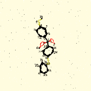 COC(OC)(c1ccc(SC)cc1)c1ccc(Sc2ccccc2)cc1